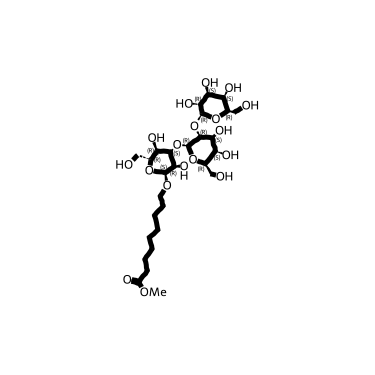 COC(=O)CCCCCCCCO[C@H]1O[C@H](CO)[C@@H](O)[C@H](O[C@H]2O[C@H](CO)[C@@H](O)[C@H](O)[C@H]2O[C@H]2O[C@H](CO)[C@@H](O)[C@H](O)[C@H]2O)[C@H]1O